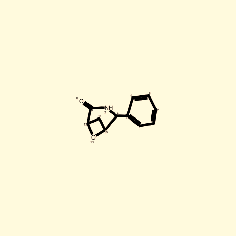 O=C1NC(c2ccccc2)C2CC1O2